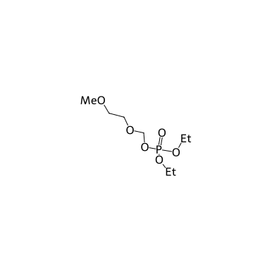 CCOP(=O)(OCC)OCOCCOC